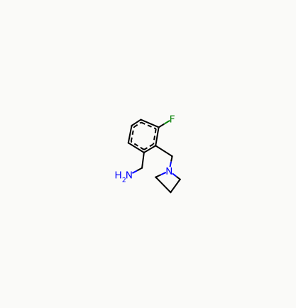 NCc1cccc(F)c1CN1CCC1